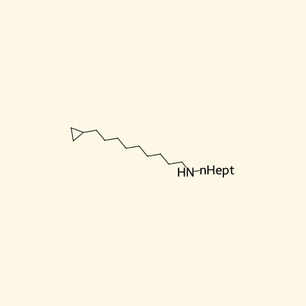 CCCCCCCNCCCCCCCCCC1CC1